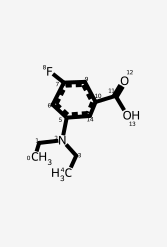 CCN(CC)c1cc(F)cc(C(=O)O)c1